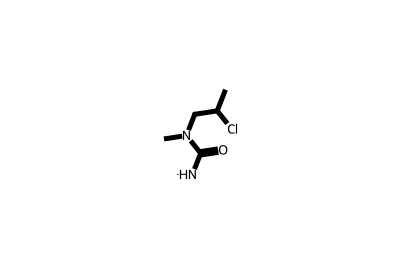 CC(Cl)CN(C)C([NH])=O